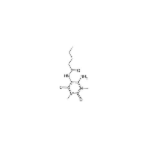 CCCCC(=O)Nc1c(N)n(C)c(=O)n(C)c1=O